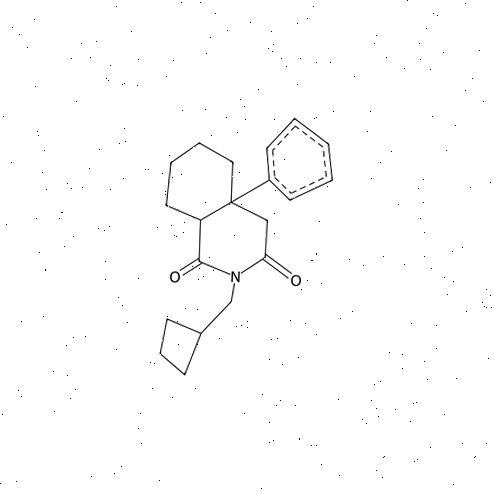 O=C1CC2(c3ccccc3)CCCCC2C(=O)N1CC1CCC1